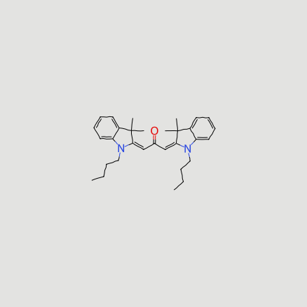 CCCCN1/C(=C/C(=O)/C=C2/N(CCCC)c3ccccc3C2(C)C)C(C)(C)c2ccccc21